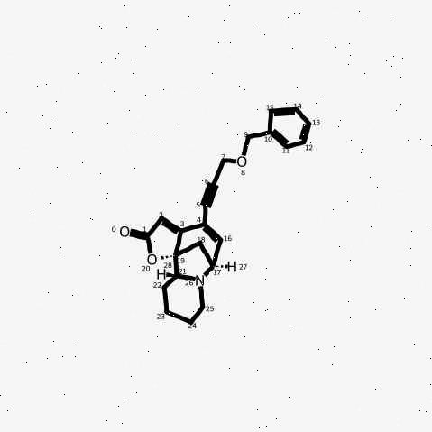 O=C1C=C2C(C#CCOCc3ccccc3)=C[C@@H]3C[C@@]2(O1)[C@H]1CCCCN31